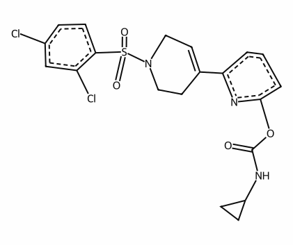 O=C(NC1CC1)Oc1cccc(C2=CCN(S(=O)(=O)c3ccc(Cl)cc3Cl)CC2)n1